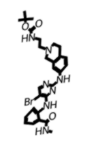 CNC(=O)c1ccccc1Nc1nc(Nc2ccc3c(c2)CN(CCNC(=O)OC(C)(C)C)CC3)ncc1Br